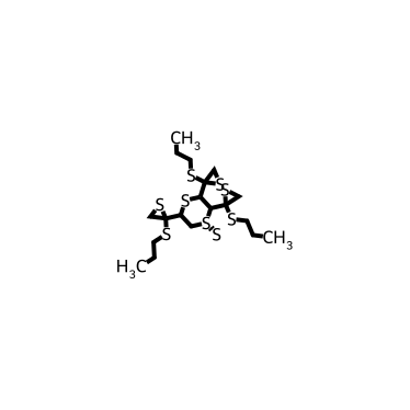 CCCSC1(C2CS(=S)C(C3(SCCC)CS3)C(C3(SCCC)CS3)S2)CS1